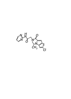 CC1CN(CC(=O)Nc2ncccn2)C(=O)c2cc3sc(Cl)cc3n21